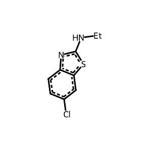 [CH2]CNc1nc2ccc(Cl)cc2s1